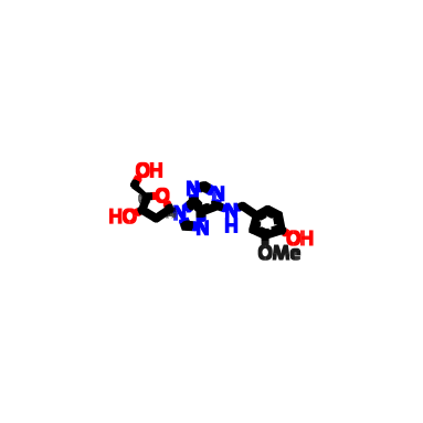 COc1cc(CNc2ncnc3c2ncn3[C@H]2CC(O)[C@@H](CO)O2)ccc1O